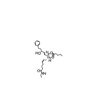 CCCCB1O[C@H]2C[C@@H](O1)[C@H](/C=C/[C@@H](O)CCc1ccccc1)[C@H]2C/C=C\CCCC(=O)NCC